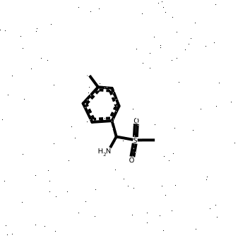 [CH2]c1ccc(C(N)S(C)(=O)=O)cc1